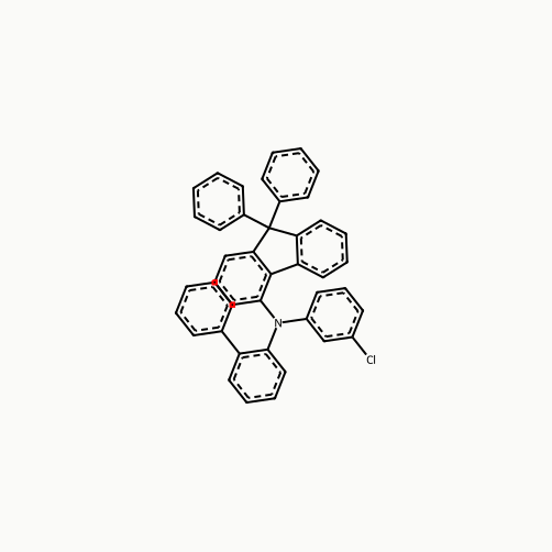 Clc1cccc(N(c2ccccc2-c2ccccc2)c2cccc3c2-c2ccccc2C3(c2ccccc2)c2ccccc2)c1